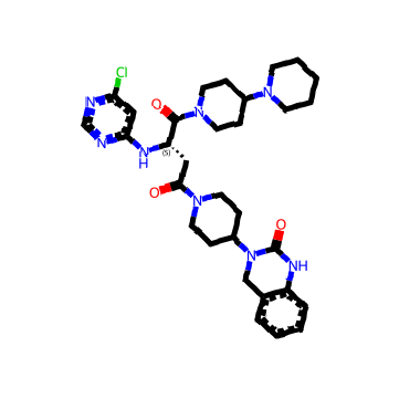 O=C(C[C@H](Nc1cc(Cl)ncn1)C(=O)N1CCC(N2CCCCC2)CC1)N1CCC(N2Cc3ccccc3NC2=O)CC1